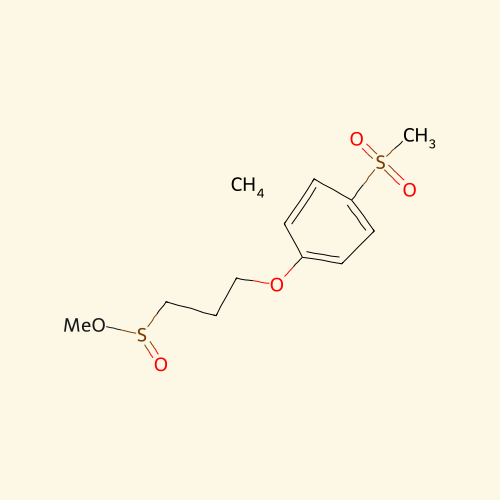 C.COS(=O)CCCOc1ccc(S(C)(=O)=O)cc1